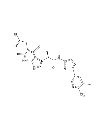 CCC(=O)Cn1c(=O)[nH]c2ncn([C@@H](C)C(=O)Nc3csc(-c4cnc(C(F)(F)F)c(C)c4)n3)c2c1=O